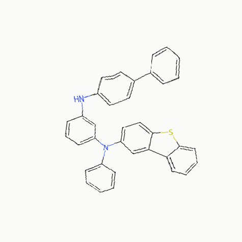 c1ccc(-c2ccc(Nc3cccc(N(c4ccccc4)c4ccc5sc6ccccc6c5c4)c3)cc2)cc1